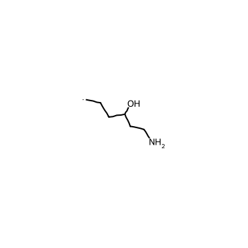 [CH2]CCC(O)CCN